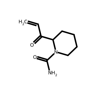 C=CC(=O)C1CCCCN1C(N)=O